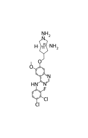 COc1cc2c(Nc3ccc(Cl)c(Cl)c3F)ncnc2cc1OCC1C[C@H]2CN(N)C[C@@]2(N)C1